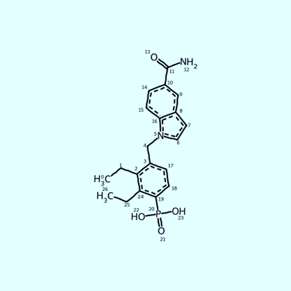 CCc1c(Cn2ccc3cc(C(N)=O)ccc32)ccc(P(=O)(O)O)c1CC